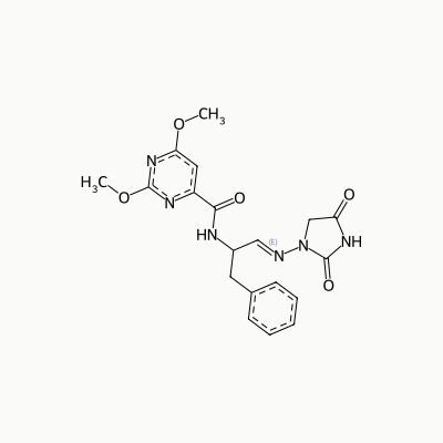 COc1cc(C(=O)NC(/C=N/N2CC(=O)NC2=O)Cc2ccccc2)nc(OC)n1